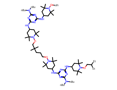 CCCCN(CCCC)c1nc(NC2CC(C)(C)N(OCCCC(C)(C)CON3C(C)(C)CC(Nc4nc(NC5CC(C)(C)N(OCCC)C(C)(C)C5)nc(N(CCCC)CCCC)n4)CC3(C)C)C(C)(C)C2)nc(NC2CC(C)(C)N(OCC(CC)CC)C(C)(C)C2)n1